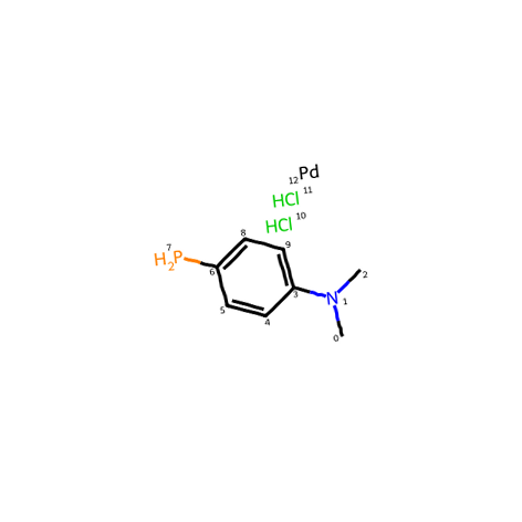 CN(C)c1ccc(P)cc1.Cl.Cl.[Pd]